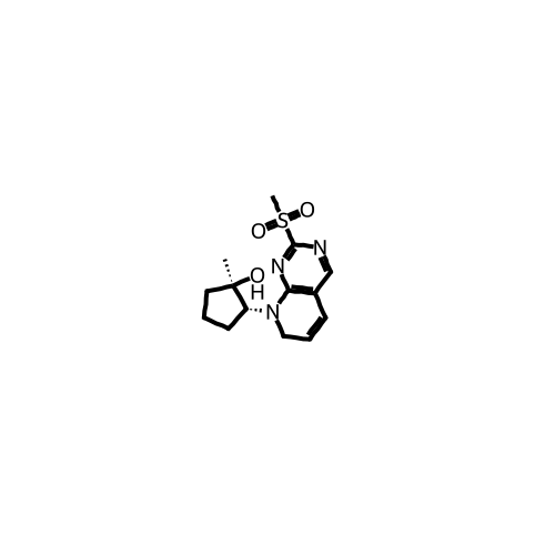 C[C@@]1(O)CCC[C@H]1N1CC=Cc2cnc(S(C)(=O)=O)nc21